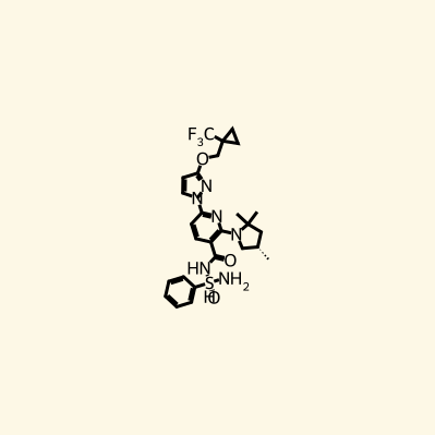 C[C@@H]1CN(c2nc(-n3ccc(OCC4(C(F)(F)F)CC4)n3)ccc2C(=O)N[SH](N)(=O)c2ccccc2)C(C)(C)C1